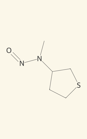 CN(N=O)C1CCSC1